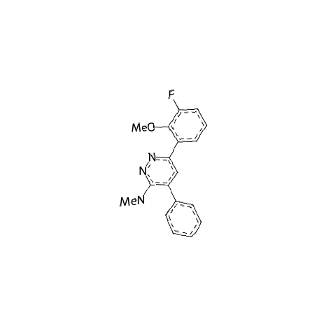 CNc1nnc(-c2cccc(F)c2OC)cc1-c1ccccc1